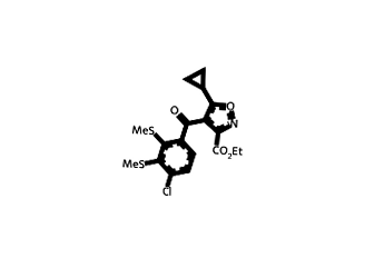 CCOC(=O)c1noc(C2CC2)c1C(=O)c1ccc(Cl)c(SC)c1SC